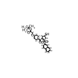 CC(C)(C)OC(=O)COC1CCN(C(=O)[C@@H]2CC(S)CN2S(=O)(=O)c2ccc3ccccc3c2)CC1